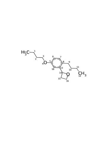 CCCCOc1ccc(CCCC)c(C2CCO2)c1